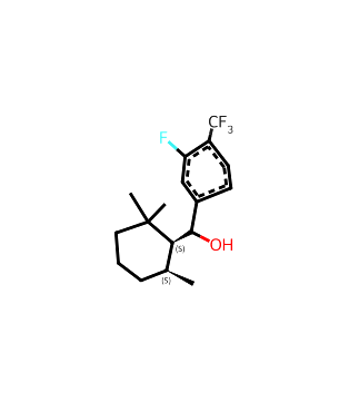 C[C@H]1CCCC(C)(C)[C@H]1C(O)c1ccc(C(F)(F)F)c(F)c1